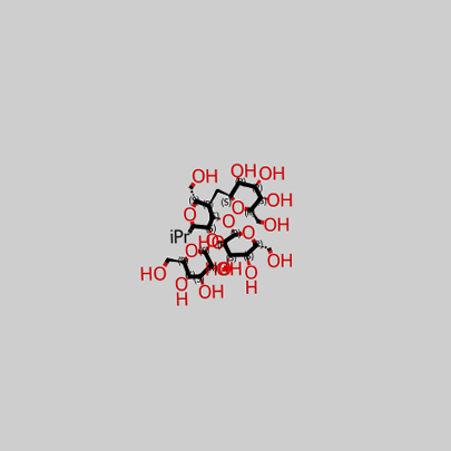 CC(C)C1O[C@H](CO)[C@@H](C[C@@H]2O[C@H](CO)[C@@H](O)[C@H](O)[C@H]2O)[C@H](O[C@@H]2O[C@H](CO)[C@@H](O)[C@H](O)[C@H]2O)[C@H]1O[C@@H]1O[C@H](CO)[C@@H](O)[C@H](O)[C@H]1O